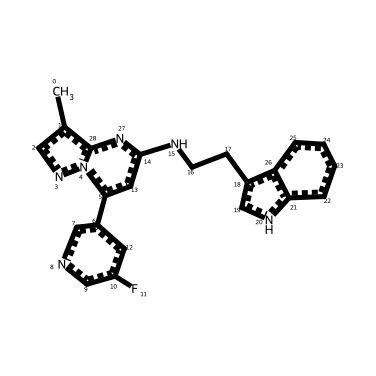 Cc1cnn2c(-c3cncc(F)c3)cc(NCCc3c[nH]c4ccccc34)nc12